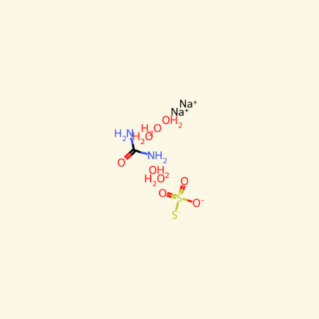 NC(N)=O.O.O.O.O.O.O=S(=O)([O-])[S-].[Na+].[Na+]